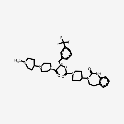 CN1CCC(N2CCN(C(=O)[C@@H](Cc3cccc(C(F)(F)F)c3)OC(=O)N3CCC(N4CCc5ccccc5NC4=O)CC3)CC2)CC1